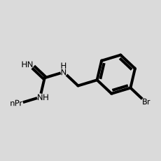 CCCNC(=N)NCc1cccc(Br)c1